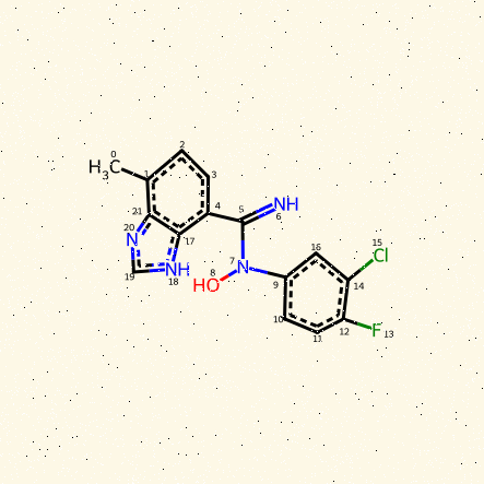 Cc1ccc(C(=N)N(O)c2ccc(F)c(Cl)c2)c2[nH]cnc12